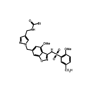 CCC(=O)NCc1cnn(Cc2cc(OC)c3c(NS(=O)(=O)c4cc(C(=O)O)ccc4OC)noc3c2)c1